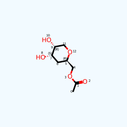 CC(=O)OC[C@H]1C[C@H](O)[C@H](O)CO1